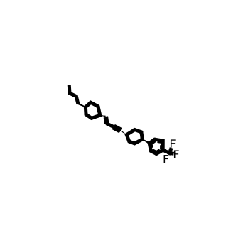 CCCC[C@H]1CC[C@H](C=CC#C[C@H]2CC[C@H](c3ccc(C(F)(F)F)cc3)CC2)CC1